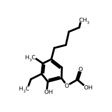 CCCCCc1cc(OC(=O)O)c(O)c(CC)c1C